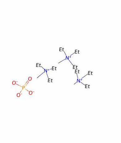 CC[N+](C)(CC)CC.CC[N+](C)(CC)CC.CC[N+](C)(CC)CC.O=P([O-])([O-])[O-]